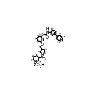 O=C(Nc1cccc(OCC2CCN(C(=O)C3CCCN(C(=O)O)C3)C2)n1)Nc1csc(-c2ccncc2)n1